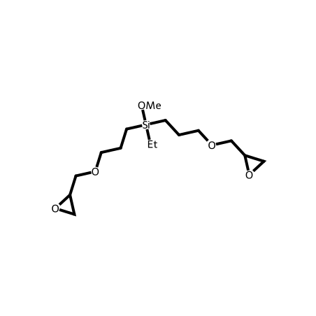 CC[Si](CCCOCC1CO1)(CCCOCC1CO1)OC